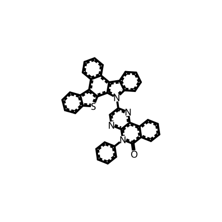 O=c1c2ccccc2c2nc(-n3c4ccccc4c4c5ccccc5c5c6ccccc6sc5c43)cnc2n1-c1ccccc1